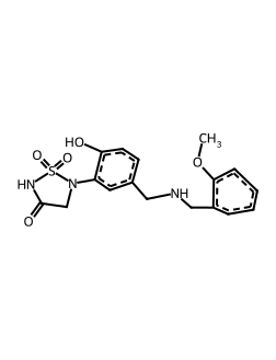 COc1ccccc1CNCc1ccc(O)c(N2CC(=O)NS2(=O)=O)c1